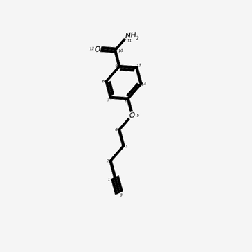 C#CCCCOc1ccc(C(N)=O)cc1